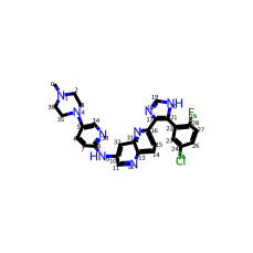 CN1CCN(c2ccc(Nc3cnc4ccc(-c5nc[nH]c5-c5cc(Cl)ccc5F)nc4c3)nc2)CC1